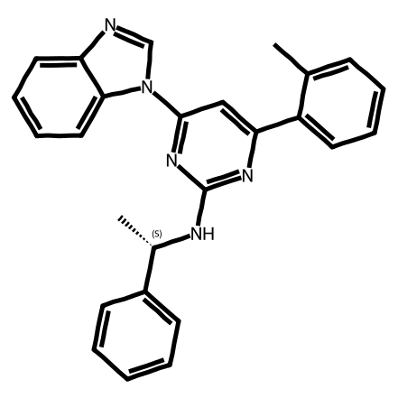 Cc1ccccc1-c1cc(-n2cnc3ccccc32)nc(N[C@@H](C)c2ccccc2)n1